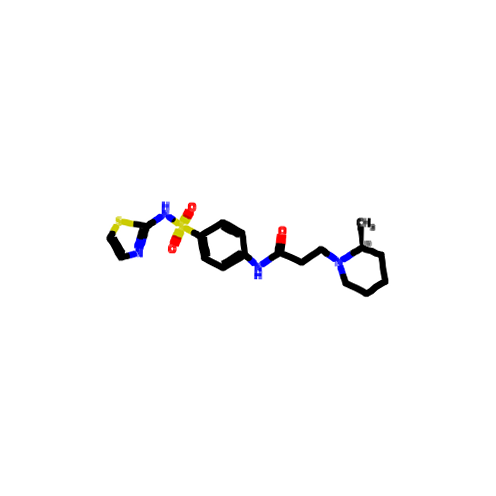 C[C@H]1CCCCN1CCC(=O)Nc1ccc(S(=O)(=O)Nc2nccs2)cc1